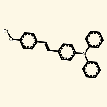 CCOc1ccc(C=Cc2ccc(N(c3ccccc3)c3ccccc3)cc2)cc1